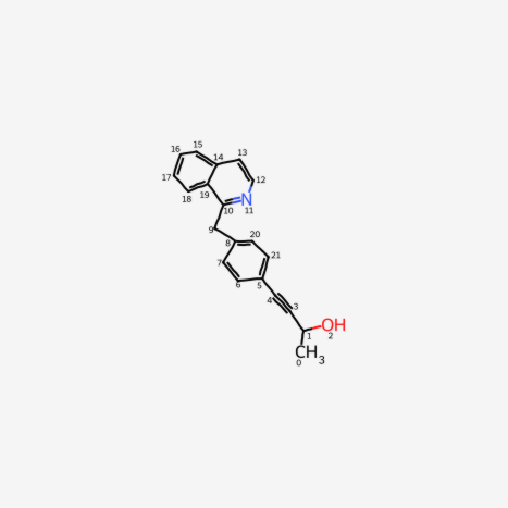 CC(O)C#Cc1ccc(Cc2nccc3ccccc23)cc1